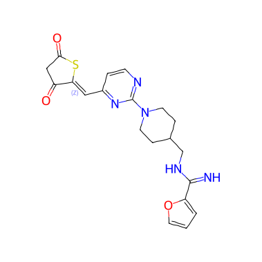 N=C(NCC1CCN(c2nccc(/C=C3\SC(=O)CC3=O)n2)CC1)c1ccco1